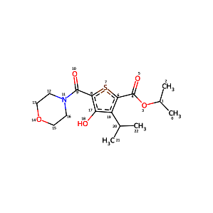 CC(C)OC(=O)c1sc(C(=O)N2CCOCC2)c(O)c1C(C)C